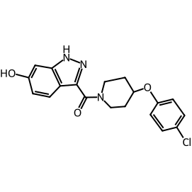 O=C(c1n[nH]c2cc(O)ccc12)N1CCC(Oc2ccc(Cl)cc2)CC1